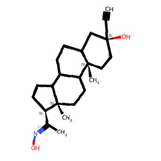 C#C[C@]1(O)CC[C@@]2(C)C(CCC3C2CC[C@@]2(C)C3CC[C@@H]2/C(C)=N/O)C1